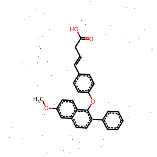 COc1ccc2c(Oc3ccc(/C=C/CC(=O)O)cc3)c(-c3ccccc3)ccc2c1